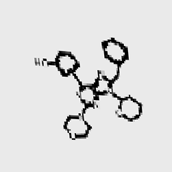 Oc1cccc(-c2nc(N3CCOCC3)nc3c2nc(Cc2ccccc2)n3C2CCCCO2)c1